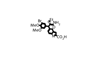 CCOC1=C(N)OC2C3=CC(C(=O)O)=NC3=CC=C2C1c1cc(Br)c(OC)c(OC)c1